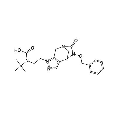 CC(C)(C)N(CCn1ncc2c1CN1CC2N(OCc2ccccc2)C1=O)C(=O)O